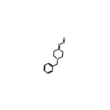 O=NN=C1CCN(Cc2ccccc2)CC1